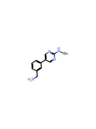 CC(C)(C)Nc1ncc(-c2cccc(CN)c2)cn1